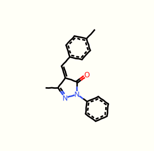 CC1=NN(c2ccccc2)C(=O)C1=Cc1ccc(C)cc1